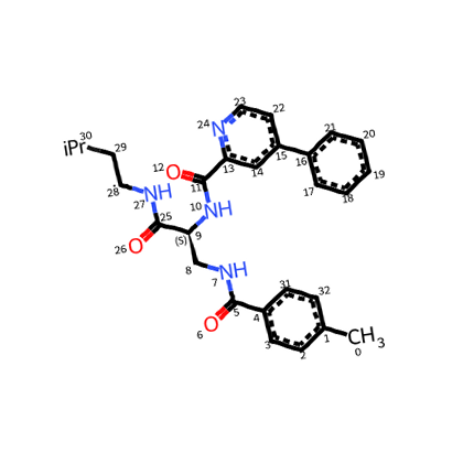 Cc1ccc(C(=O)NC[C@H](NC(=O)c2cc(-c3ccccc3)ccn2)C(=O)N[CH]CC(C)C)cc1